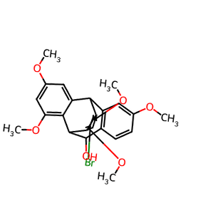 COc1ccc2c(c1)C1c3cc(OC)cc(OC)c3C(c3c(Br)c(OC)cc(OC)c31)C2O